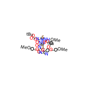 COc1ccc(COC(=O)C2=C(C[N+]3(Cc4cn(C)c5cc(OCc6ccc(OC)cc6)c(OCc6ccc(OC)cc6)cc5c4=O)CCCC3)[C@H](C)S[C@@H]3[C@H](NC(=O)/C(=N\OC(C)(C)C(=O)OC(C)(C)C)c4csc(NC(=O)OC(C)(C)C)n4)C(=O)N23)cc1